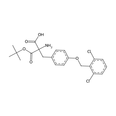 CC(C)(C)OC(=O)C(N)(Cc1ccc(OCc2c(Cl)cccc2Cl)cc1)C(=O)O